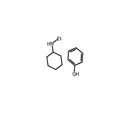 CCNC1CCCCC1.Oc1ccccc1